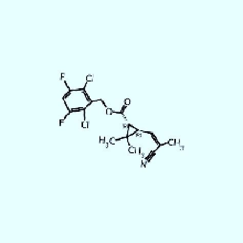 CC(C#N)=C[C@@H]1[C@@H](C(=O)OCc2c(Cl)c(F)cc(F)c2Cl)C1(C)C